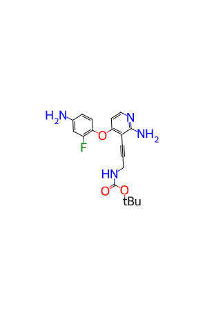 CC(C)(C)OC(=O)NCC#Cc1c(Oc2ccc(N)cc2F)ccnc1N